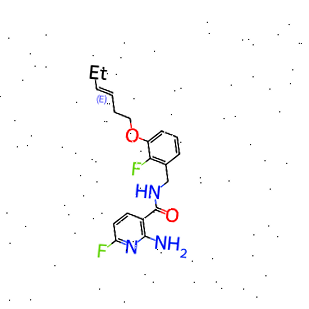 CC/C=C/CCOc1cccc(CNC(=O)c2ccc(F)nc2N)c1F